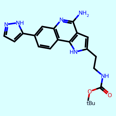 CC(C)(C)OC(=O)NCCc1cc2c(N)nc3cc(-c4ccn[nH]4)ccc3c2[nH]1